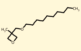 CCCCCCCCCCOCC1(C)COC1